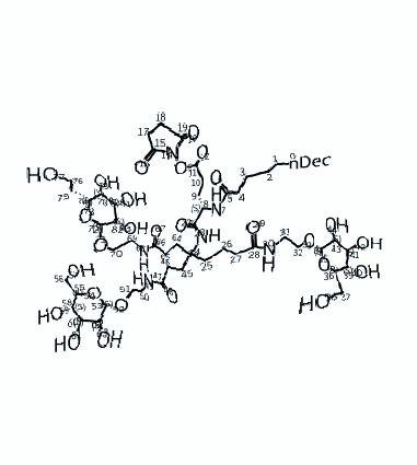 CCCCCCCCCCCCCCC(=O)N[C@@H](CCC(=O)ON1C(=O)CCC1=O)C(=O)NC(CCCC(=O)NCCO[C@H]1O[C@H](CO)[C@@H](O)[C@H](O)[C@@H]1O)(CCC(=O)NCCO[C@H]1O[C@H](CO)[C@@H](O)[C@H](O)[C@@H]1O)CCC(=O)NCCO[C@H]1O[C@H](CCO)[C@@H](O)[C@H](O)[C@@H]1O